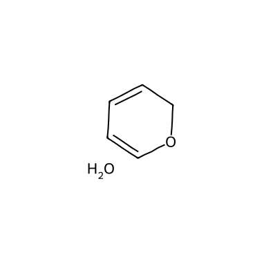 C1=CCOC=C1.O